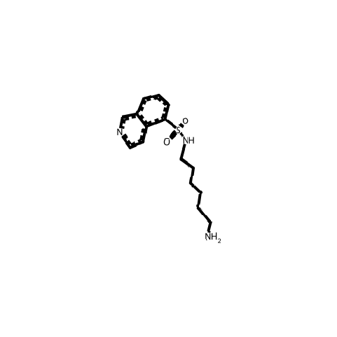 NCCCCCCNS(=O)(=O)c1cccc2cnccc12